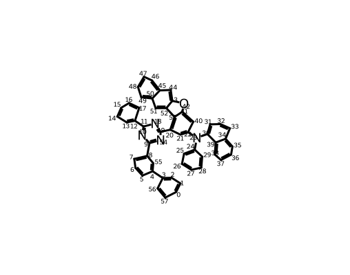 c1ccc(-c2cccc(-c3nc(-c4ccccc4)nc(-c4cc(N(c5ccccc5)c5cccc6ccccc56)cc5oc6cc7ccccc7cc6c45)n3)c2)cc1